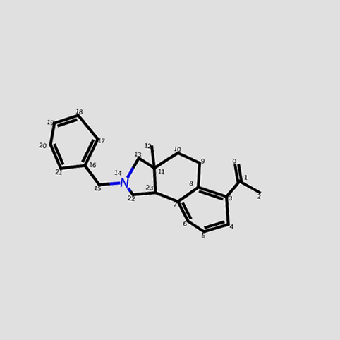 C=C(C)c1cccc2c1CCC1(C)CN(Cc3ccccc3)CC21